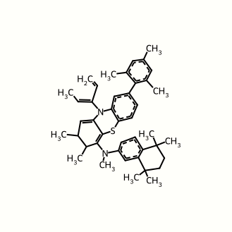 C=C/C(=C\C)N1C2=CC(C)C(C)C(N(C)c3ccc4c(c3)C(C)(C)CCC4(C)C)=C2Sc2ccc(-c3c(C)cc(C)cc3C)cc21